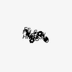 COc1ccc2nc(N3C4COCC3C4)sc2c1C(=O)Nc1ccccc1C(=O)NC12CC(C(F)(F)F)(C1)C2